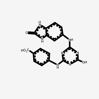 O=C(O)c1ccc(Nc2nc(O)nc(Nc3ccc4[nH]c(=O)[nH]c4c3)n2)cc1